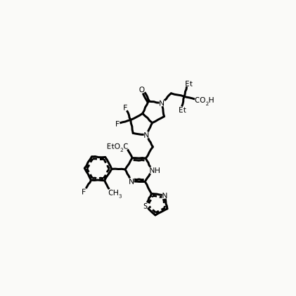 CCOC(=O)C1=C(CN2CC(F)(F)C3C(=O)N(CC(CC)(CC)C(=O)O)CC32)NC(c2nccs2)=NC1c1cccc(F)c1C